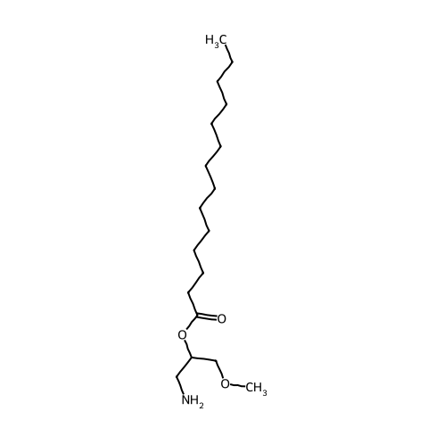 CCCCCCCCCCCCCC(=O)OC(CN)COC